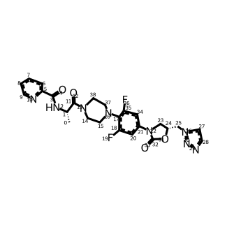 C[C@H](NC(=O)c1ccccn1)C(=O)N1CCN(c2c(F)cc(N3C[C@H](Cn4ccnn4)OC3=O)cc2F)CC1